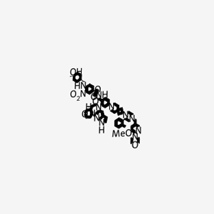 COc1cc(CN2CCN(C3CC4(CCN(c5ccc(C(=O)NS(=O)(=O)c6ccc(NC[C@H]7CC[C@](C)(O)CC7)c([N+](=O)[O-])c6)c(N6CC[C@@H]7COCCN7c7nc8[nH]ccc8cc76)c5)CC4)C3)[C@H](c3ccccc3C)C2)cnc1N1CCOCC1